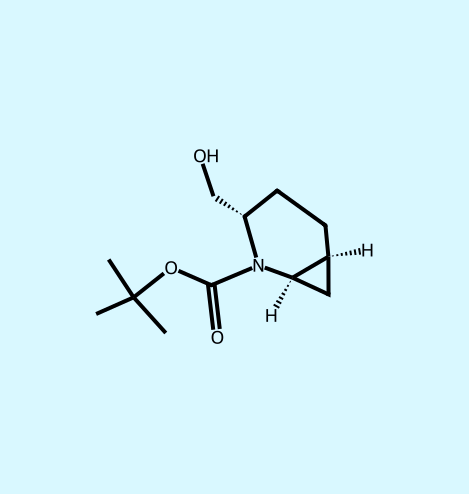 CC(C)(C)OC(=O)N1[C@H](CO)CC[C@H]2C[C@H]21